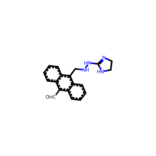 O=Cc1c2ccccc2c(CNNC2=NCCN2)c2ccccc12